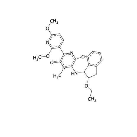 CCO[C@H]1Cc2ccccc2[C@H]1Nc1c(C)nc(-c2ccc(OC)nc2OC)c(=O)n1C